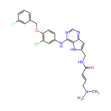 CN(C)CC=CC(=O)NCc1cc2ncnc(Nc3ccc(OCc4cccc(F)c4)c(Cl)c3)c2[nH]1